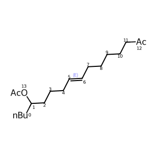 CCCCC(CCC/C=C/CCCCCC(C)=O)OC(C)=O